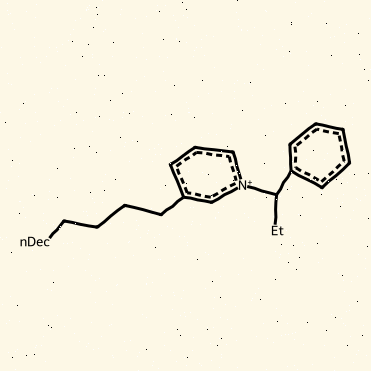 CCCCCCCCCCCCCCc1ccc[n+](C(CC)c2ccccc2)c1